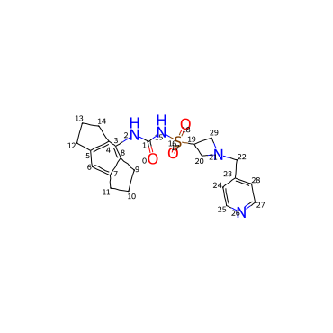 O=C(Nc1c2c(cc3c1CCC3)CCC2)NS(=O)(=O)C1CN(Cc2ccncc2)C1